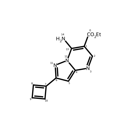 CCOC(=O)c1cnc2cc(C3=CC=C3)nn2c1N